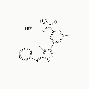 Br.Cc1cc(-c2csc(=Nc3ccccc3)n2C)cc(S(N)(=O)=O)c1